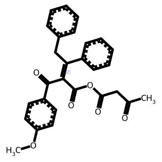 COc1ccc(C(=O)/C(C(=O)OC(=O)CC(C)=O)=C(\Cc2ccccc2)c2ccccc2)cc1